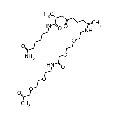 C=C(CCCC(=O)C[C@@H](C)C(=O)NCCCCCC(N)=O)NCCOCCOCC(=O)NCCOCCOCC(C)=O